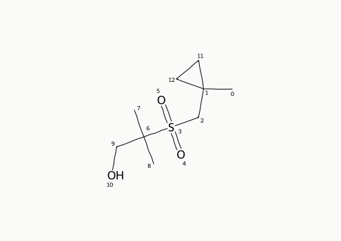 CC1(CS(=O)(=O)C(C)(C)CO)CC1